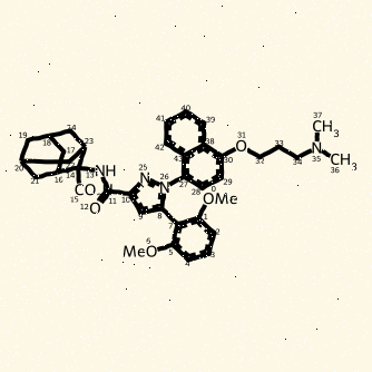 COc1cccc(OC)c1-c1cc(C(=O)NC2(C(=O)O)C3CC4CC(C3)CC2C4)nn1-c1ccc(OCCCN(C)C)c2ccccc12